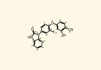 CC(C)c1cc(Oc2ccc(-n3c(=O)[nH]c4cccnc43)cc2F)ccc1C#N